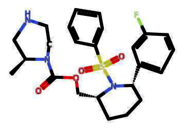 C[C@H]1CNCCN1C(=O)OC[C@H]1CCC[C@@H](c2cccc(F)c2)N1S(=O)(=O)c1ccccc1